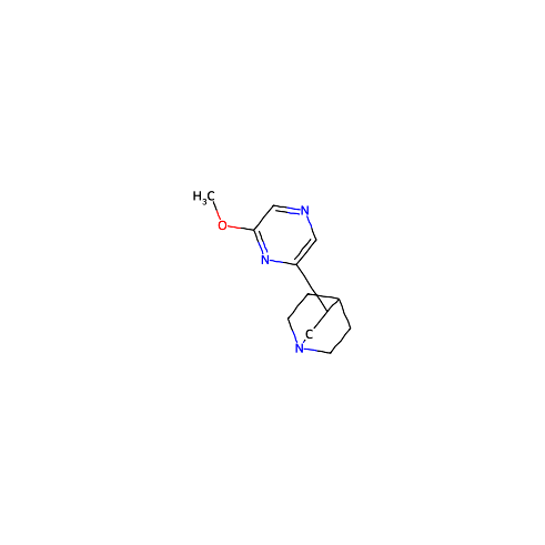 COc1cncc(C2CN3CCC2CC3)n1